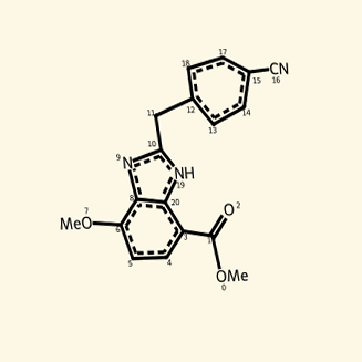 COC(=O)c1ccc(OC)c2nc(Cc3ccc(C#N)cc3)[nH]c12